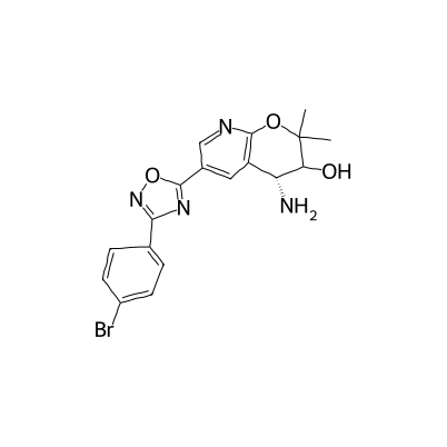 CC1(C)Oc2ncc(-c3nc(-c4ccc(Br)cc4)no3)cc2[C@@H](N)C1O